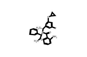 C[C@H](c1cc(F)cc(OC2CC2)c1)N(C(=O)c1ccccc1N)[C@@H](C(N)=O)c1ccccc1